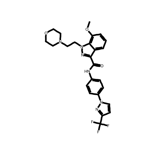 COc1cccc2c(C(=O)Nc3ccc(-n4ccc(C(F)(F)F)n4)cc3)nn(CCN3CCOCC3)c12